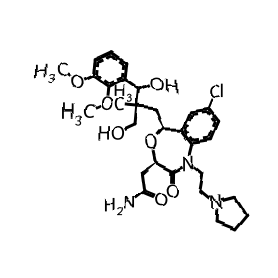 COc1cccc(C(O)C(C)(CO)C[C@@H]2O[C@H](CC(N)=O)C(=O)N(CCN3CCCC3)c3ccc(Cl)cc32)c1OC